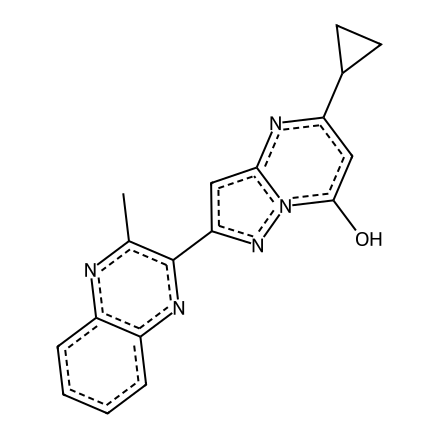 Cc1nc2ccccc2nc1-c1cc2nc(C3CC3)cc(O)n2n1